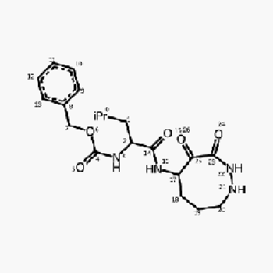 CC(C)CC(NC(=O)OCc1ccccc1)C(=O)NC1CCCNNC(=O)C1=O